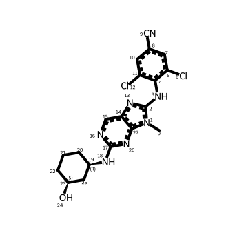 Cn1c(Nc2c(Cl)cc(C#N)cc2Cl)nc2cnc(N[C@@H]3CCC[C@H](O)C3)nc21